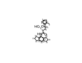 Cc1ncnn1C(C)(CCC(=O)Nc1c2c(cc3c1CCC3)CCC2)C(=O)O